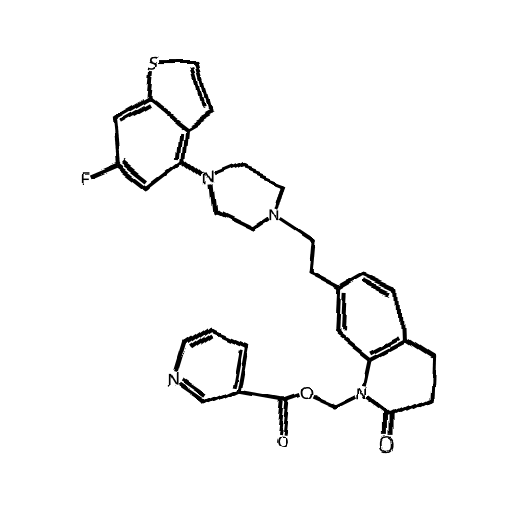 O=C(OCN1C(=O)CCc2ccc(CCN3CCN(c4cc(F)cc5sccc45)CC3)cc21)c1cccnc1